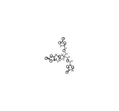 CCC(COCC1COC(=O)O1)(COCC1COC(=O)O1)COCC1OCC(=O)O1